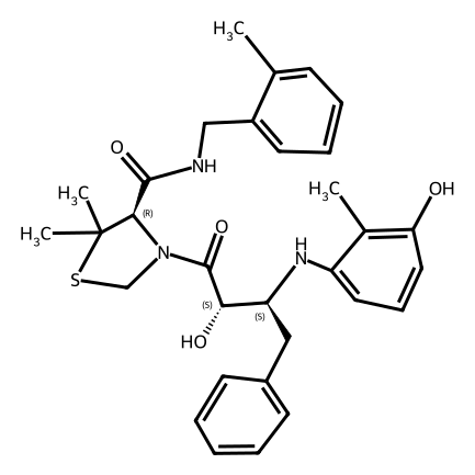 Cc1ccccc1CNC(=O)[C@H]1N(C(=O)[C@@H](O)[C@H](Cc2ccccc2)Nc2cccc(O)c2C)CSC1(C)C